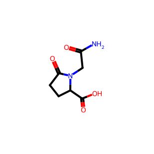 NC(=O)CN1C(=O)CCC1C(=O)O